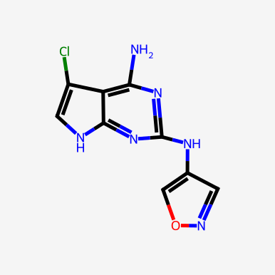 Nc1nc(Nc2cnoc2)nc2[nH]cc(Cl)c12